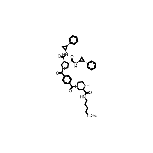 CCCCCCCCCCCCCCNC(=O)C1CN(C(=O)c2ccc(C(=O)N3C[C@@H](C(=O)N[C@H]4C[C@@H]4c4ccccc4)[C@H](C(=O)N[C@H]4C[C@@H]4c4ccccc4)C3)cc2)CCN1